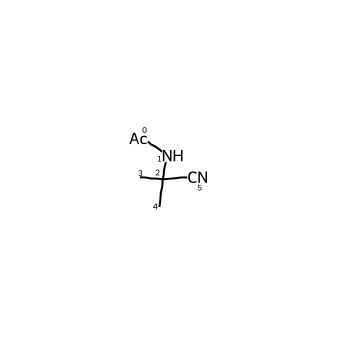 CC(=O)NC(C)(C)C#N